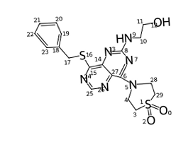 O=S1(=O)CCN(c2nc(NCCO)nc3c(SCc4ccccc4)ncnc23)CC1